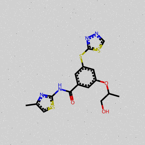 Cc1csc(NC(=O)c2cc(OC(C)CO)cc(Sc3nncs3)c2)n1